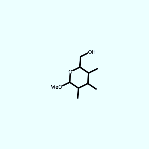 COC1OC(CO)C(C)C(C)C1C